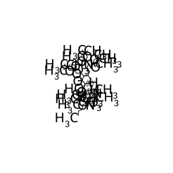 CCCCOc1noc2c1C(=O)[C@@]1(O[Si](C)(C)C(C)(C)C)C(O)=C3C(=O)c4c(cc(N(C(=O)OC(C)(C)C)C(=O)OC(C)(C)C)cc4OC(=O)OC(C)(C)C)C[C@H]3C[C@H]1[C@@H]2N(C)C